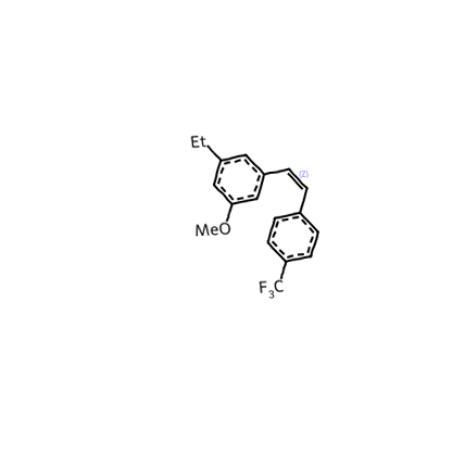 CCc1cc(/C=C\c2ccc(C(F)(F)F)cc2)cc(OC)c1